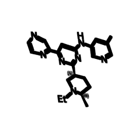 CCN1C[C@@H](c2nc(Nc3cncc(C)c3)cc(-c3cnccn3)n2)CC[C@H]1C